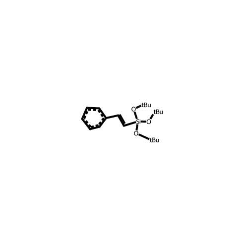 CC(C)(C)O[Si](C=Cc1ccccc1)(OC(C)(C)C)OC(C)(C)C